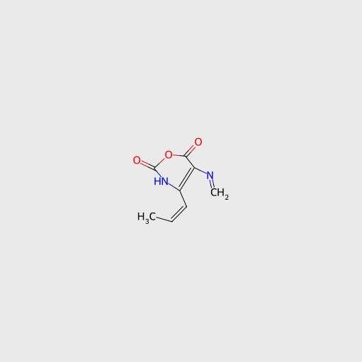 C=Nc1c(/C=C\C)[nH]c(=O)oc1=O